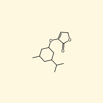 CC1CC(OC2=CCOC2=O)CC(C(C)C)C1